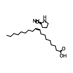 CCCCCCCC/C=C\CCCCCCCC(=O)O.N.O=C1CCCN1